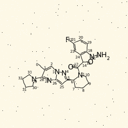 Cc1cn2nc([C@@H]3CCCCN3C(=O)C3ON(N)c4ccc(F)cc43)cc2nc1N1CCCC1